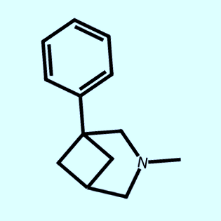 CN1CC2CC(c3ccccc3)(C2)C1